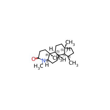 C[C@@H]1CC[C@@]2(C)CC[C@H]3[C@@H](CC[C@H]4N(C)C(=O)CC[C@]34C)[C@H]12